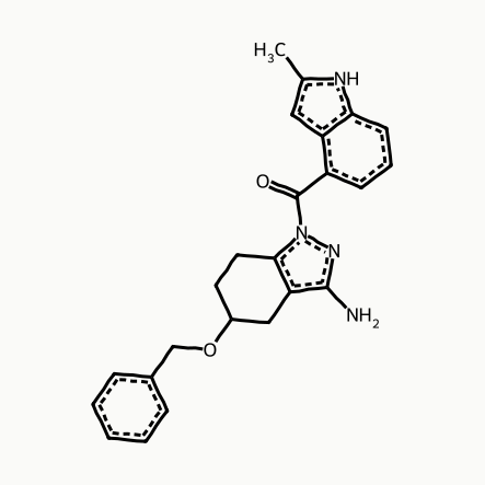 Cc1cc2c(C(=O)n3nc(N)c4c3CCC(OCc3ccccc3)C4)cccc2[nH]1